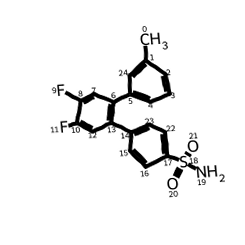 Cc1cccc(-c2cc(F)c(F)cc2-c2ccc(S(N)(=O)=O)cc2)c1